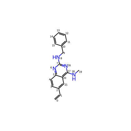 C=Cc1ccc2nc(NCc3ccccc3)nc(NC)c2c1